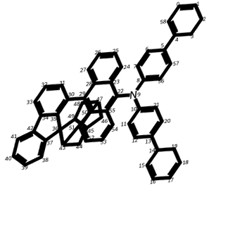 C1=CCCC(c2ccc(N(c3ccc(C4C=CC=CC4)cc3)c3c4ccccc4c(-c4cccc5c4C4(c6ccccc6-5)C5CC6CC5CC64)c4ccccc34)cc2)=C1